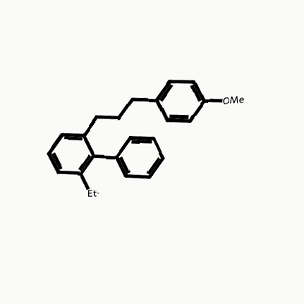 C[CH]c1cccc(CCCc2ccc(OC)cc2)c1-c1ccccc1